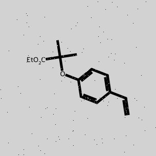 C=Cc1ccc(OC(C)(C)C(=O)OCC)cc1